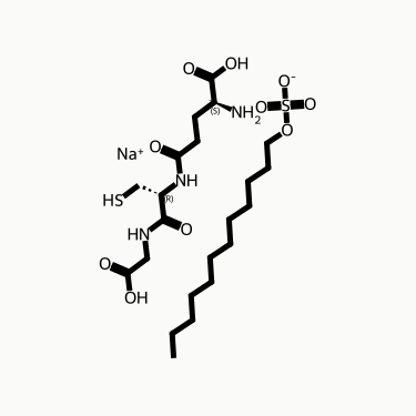 CCCCCCCCCCCCOS(=O)(=O)[O-].N[C@@H](CCC(=O)N[C@@H](CS)C(=O)NCC(=O)O)C(=O)O.[Na+]